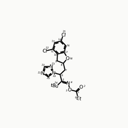 CCC(=O)ON=C(C(CC1Cc2c(Cl)cc(Cl)cc2O1)n1cncn1)C(C)(C)C